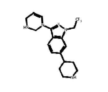 FC(F)(F)Cn1nc(N2C=CCNC2)c2ccc(C3CCNCC3)cc21